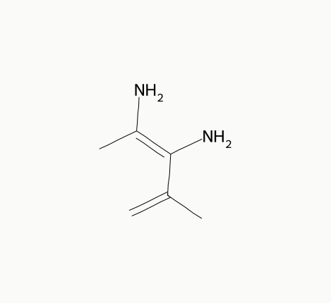 C=C(C)/C(N)=C(\C)N